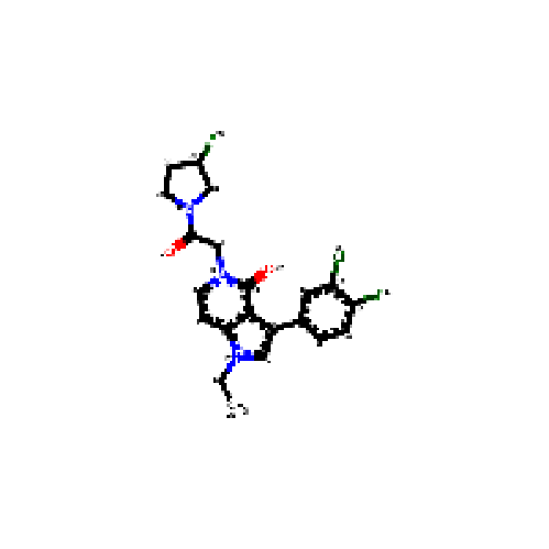 O=C(Cn1ccc2c(c(-c3ccc(F)c(Cl)c3)cn2CC(F)(F)F)c1=O)N1CCC(F)C1